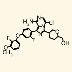 COc1cccc(Oc2ccc(-c3nc(C4CCC(CO)OC4)n4c(Cl)cnc(N)c34)c(F)c2)c1F